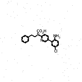 Nc1ccc(Cl)cc1-c1ccc(N(CCc2ccccc2)C(=O)O)nc1